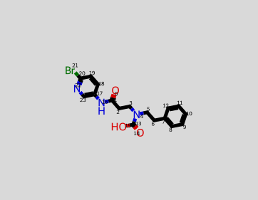 O=C(CCN(CCc1ccccc1)C(=O)O)Nc1ccc(Br)nc1